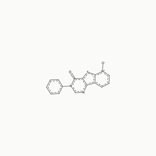 O=c1c2sc3c(ccc[n+]3[O-])c2ncn1-c1ccccc1